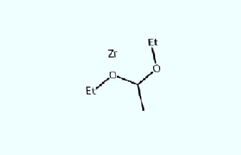 CCOC(C)OCC.[Zr]